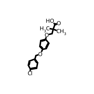 CC(C)(COc1ccc(OCc2ccc(Cl)cc2)cc1)C(=O)O